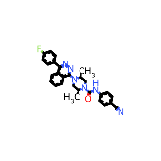 C[C@H]1CN(c2nnc(-c3ccc(F)cc3)c3ccccc23)[C@@H](C)CN1C(=O)Nc1ccc(C#N)cc1